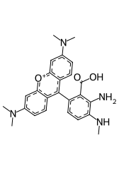 CNc1ccc(-c2c3ccc(N(C)C)cc3[o+]c3cc(N(C)C)ccc23)c(C(=O)O)c1N